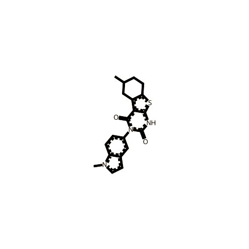 CC1CCc2sc3[nH]c(=O)n(-c4ccc5c(ccn5C)c4)c(=O)c3c2C1